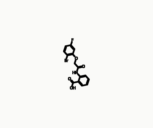 O=C(COc1cc(F)ccc1Br)Nc1ccccc1C(=O)O